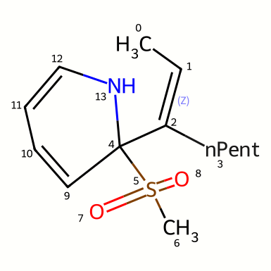 C/C=C(/CCCCC)C1(S(C)(=O)=O)C=CC=CN1